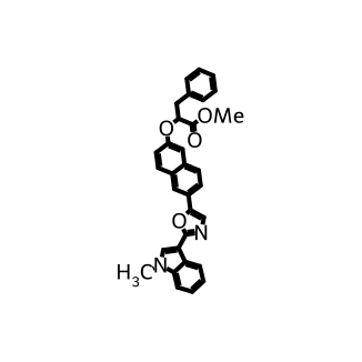 COC(=O)C(Cc1ccccc1)Oc1ccc2cc(-c3cnc(-c4cn(C)c5ccccc45)o3)ccc2c1